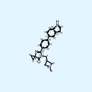 CN1CC(CN2C(=O)C3(CC3)N=C2c2ccc(-c3ccc4[nH]ccc4c3)cc2)C1